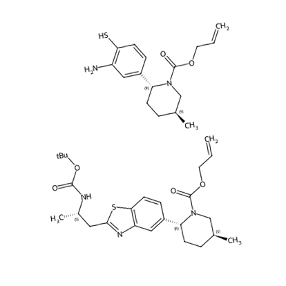 C=CCOC(=O)N1C[C@@H](C)CC[C@@H]1c1ccc(S)c(N)c1.C=CCOC(=O)N1C[C@@H](C)CC[C@@H]1c1ccc2sc(C[C@H](C)NC(=O)OC(C)(C)C)nc2c1